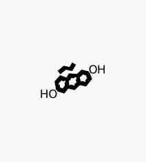 C=CC=C.Oc1ccc2cc3cc(O)ccc3cc2c1